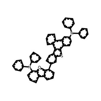 c1ccc(N(c2ccccc2)c2ccc3c(c2)c2ccccc2c2c4ccc(-c5cccc6c5oc5c(N(c7ccccc7)c7ccccc7)cccc56)cc4sc32)cc1